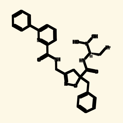 CC(C)C[C@H](NC(=O)C1(Cc2ccccc2)CC(CNC(=O)c2cccc(-c3ccccc3)n2)=NO1)B(O)O